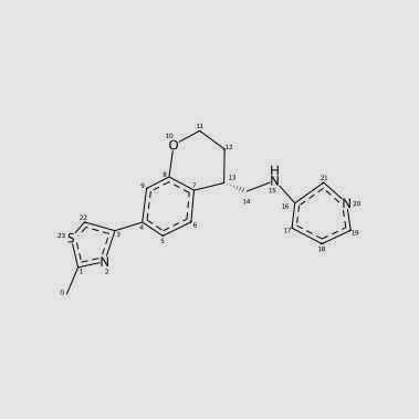 Cc1nc(-c2ccc3c(c2)OCC[C@@H]3CNc2cccnc2)cs1